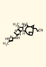 C=C1C[C@@H](N2c3nc(Nc4cc(C)[nH]n4)cnc3N(C)C2C)CC2CC(C2)C2(CCC#N)CC12